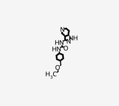 CCOCc1ccc(NC(=O)Nc2n[nH]c3ccncc23)cc1